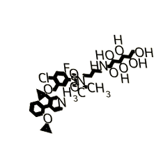 CC(C)N(CCCCNC(=O)[C@@H](O)[C@@H](O)[C@H](O)[C@@H](O)CO)S(=O)(=O)c1cc(COC2(c3cnccc3-c3ccccc3OC3CC3)CC2)c(Cl)cc1F